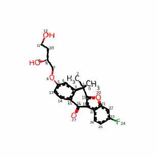 CC1(C)c2cc(OC[C@@H](O)CCO)ccc2C(=O)c2c1oc1cc(F)ccc21